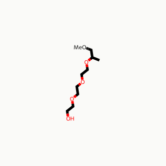 COCC(C)OCCOCCOCCO